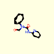 O=[C]N(C(=O)Nc1ccccn1)c1ccccc1